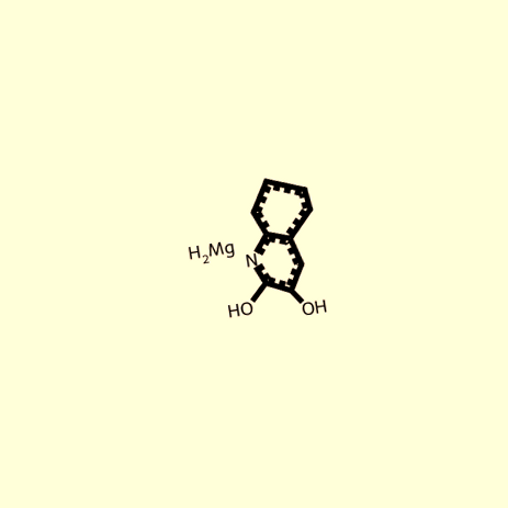 Oc1cc2ccccc2nc1O.[MgH2]